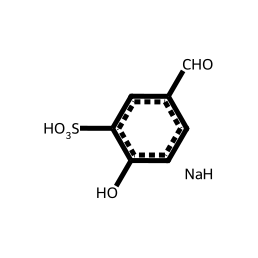 O=Cc1ccc(O)c(S(=O)(=O)O)c1.[NaH]